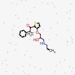 C=CCNCC(O)COc1ccsc1C(=O)C(C)c1ccccc1